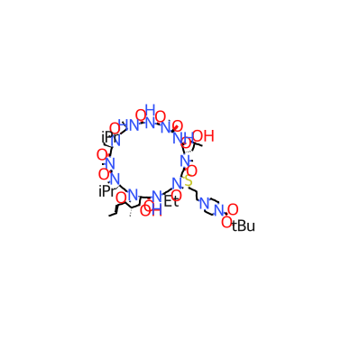 C/C=C/C[C@@H](C)[C@@H](O)[C@H]1C(=O)N[C@@H](CC)C(=O)N(C)[C@H](SCCCN2CCN(C(=O)OC(C)(C)C)CC2)C(=O)N(C)[C@@H](CC(C)(C)O)C(=O)NC(=O)N(C)C(=O)NC(=O)N[C@H](C)C(=O)N(C)[C@H](CC(C)C)C(=O)N(C)C(=O)N(C)[C@@H](C(C)C)C(=O)N1C